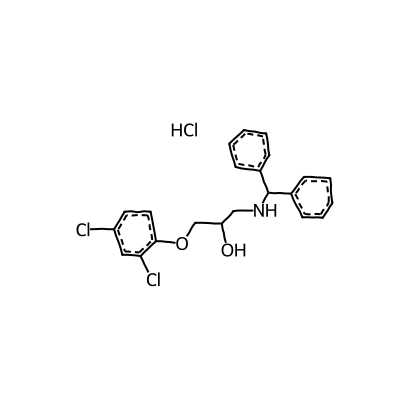 Cl.OC(CNC(c1ccccc1)c1ccccc1)COc1ccc(Cl)cc1Cl